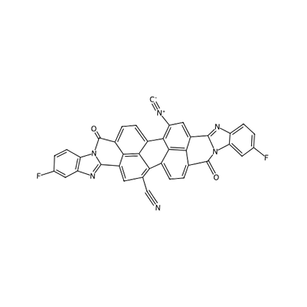 [C-]#[N+]c1cc2c3c(ccc4c5c(C#N)cc6c7c(ccc(c1c43)c57)c(=O)n1c3ccc(F)cc3nc61)c(=O)n1c3cc(F)ccc3nc21